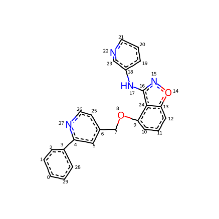 c1ccc(-c2cc(COc3cccc4onc(Nc5cccnc5)c34)ccn2)cc1